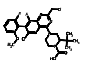 COc1cccc(F)c1-c1c(Cl)cc2c(N3CCN(C(=O)O)C(C(C)(C)C)C3)nc(CCl)nc2c1F